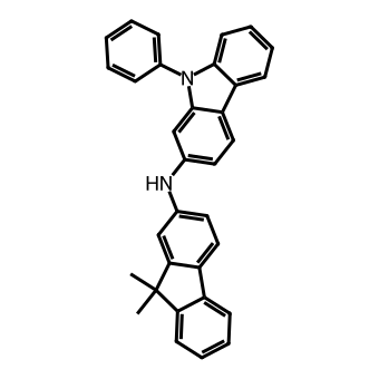 CC1(C)c2ccccc2-c2ccc(Nc3ccc4c5ccccc5n(-c5ccccc5)c4c3)cc21